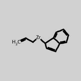 C=C[CH2][Zr][CH]1C=Cc2ccccc21